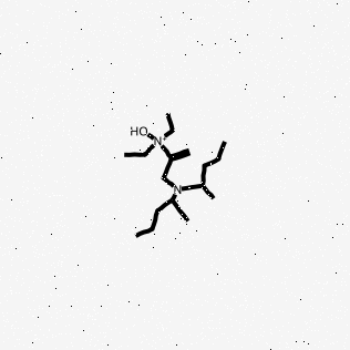 C=C(CN(C(C)CCC)C(C)CCC)[N+](O)(CC)CC